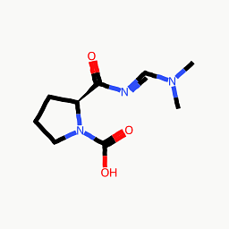 CN(C)C=NC(=O)[C@@H]1CCCN1C(=O)O